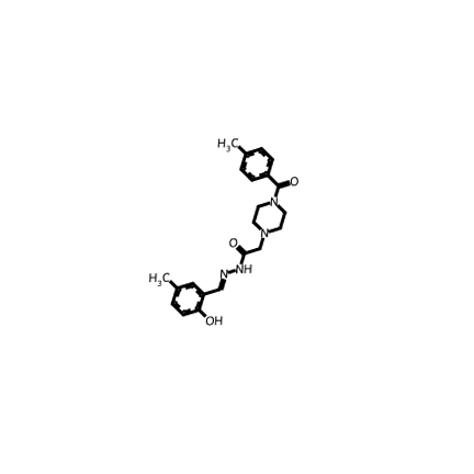 Cc1ccc(C(=O)N2CCN(CC(=O)N/N=C/c3cc(C)ccc3O)CC2)cc1